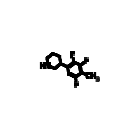 Cc1c(F)cc(C2CCCNC2)c(F)c1F